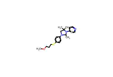 COCCCSc1ccc(N2CC(C)(C)N(c3ccncc3)C2C)cc1